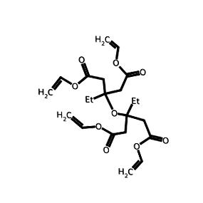 C=COC(=O)CC(CC)(CC(=O)OC=C)OC(CC)(CC(=O)OC=C)CC(=O)OC=C